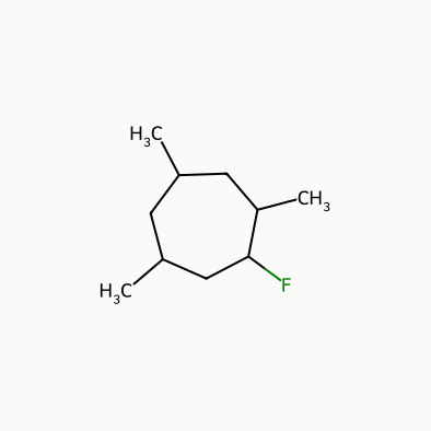 CC1CC(C)CC(F)C(C)C1